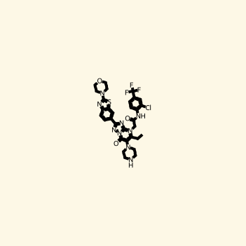 CCc1c(N2CCNCC2)c(=O)n2nc(-c3ccc4nc(N5CCOCC5)sc4c3)nc2n1CC(=O)Nc1ccc(C(F)(F)F)cc1Cl